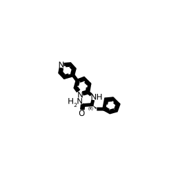 NC(=O)[C@@H](Cc1ccccc1)Nc1ccc(-c2ccncc2)cn1